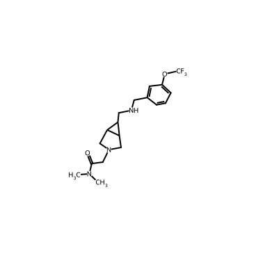 CN(C)C(=O)CN1CC2C(CNCc3cccc(OC(F)(F)F)c3)C2C1